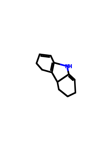 C1=CC2=C(CC1)C1CCCC=C1N2